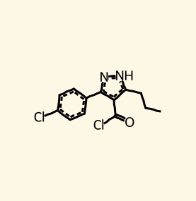 CCCc1[nH]nc(-c2ccc(Cl)cc2)c1C(=O)Cl